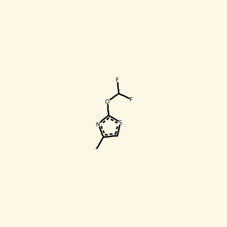 [CH2]c1csc(OC(F)F)n1